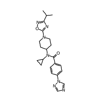 CC(C)c1noc(N2CCC(N(C(=O)c3ccc(-n4cncn4)cc3)C3CC3)CC2)n1